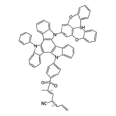 C=C/C=C(C#N)\C=C(/C)S(=O)(=O)c1ccc(-n2c3ccccc3c3c2c2c4ccccc4n(-c4ccccc4)c2c2c4ccccc4n(-c4cc5c6c(c4)Oc4ccccc4[SH]6c4ccccc4O5)c23)cc1